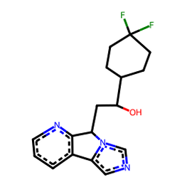 OC(CC1c2ncccc2-c2cncn21)C1CCC(F)(F)CC1